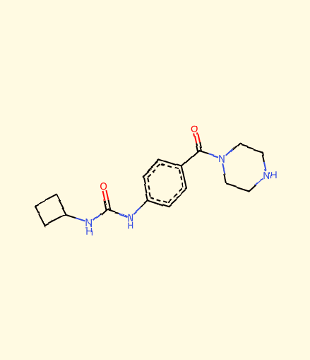 O=C(Nc1ccc(C(=O)N2CCNCC2)cc1)NC1CCC1